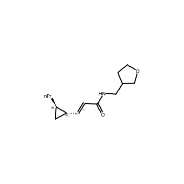 CCC[C@@H]1C[C@H]1/C=C/C(=O)NCC1CCOC1